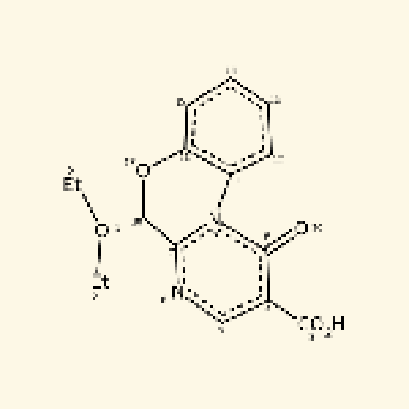 CCOCC.O=C(O)c1cnc2n(c1=O)-c1ccccc1OC2